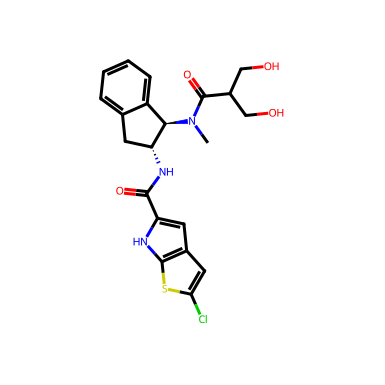 CN(C(=O)C(CO)CO)[C@@H]1c2ccccc2C[C@H]1NC(=O)c1cc2cc(Cl)sc2[nH]1